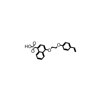 C=Cc1ccc(OCCOc2ccc(S(=O)(=O)O)c3ccccc23)cc1